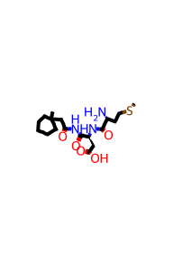 CSCC[C@H](N)C(=O)N[C@@H](CC(=O)O)C(=O)NC(=O)CC1(C)CCCCC1